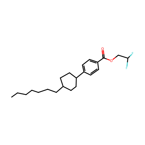 CCCCCCCC1CCC(c2ccc(C(=O)OCC(F)F)cc2)CC1